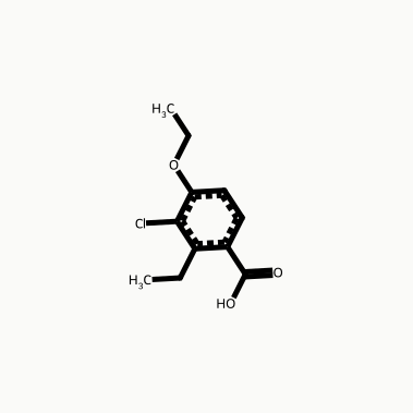 CCOc1ccc(C(=O)O)c(CC)c1Cl